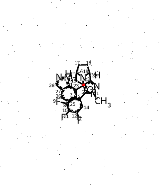 Cn1nc2c(c1-c1cc(F)c(F)c(F)c1)C[C@H]1CC[C@@H]2N1C(=O)c1cccc2cn[nH]c12